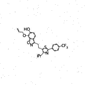 C=CCOc1c(O)ccc2c(CCc3sc(-c4ccc(C(F)(F)F)cc4)nc3C(C)C)noc12